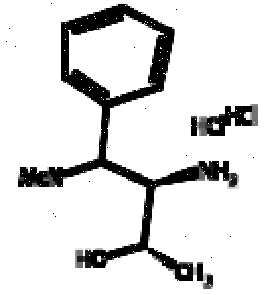 CNC(c1ccccc1)[C@@H](N)[C@H](C)O.Cl.Cl